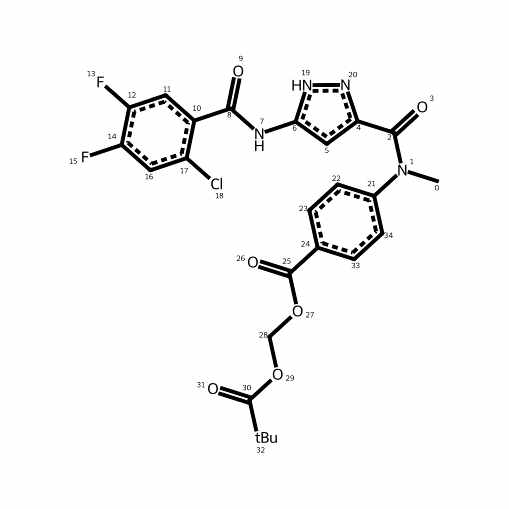 CN(C(=O)c1cc(NC(=O)c2cc(F)c(F)cc2Cl)[nH]n1)c1ccc(C(=O)OCOC(=O)C(C)(C)C)cc1